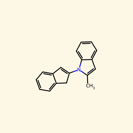 Cc1cc2ccccc2n1C1=Cc2ccccc2C1